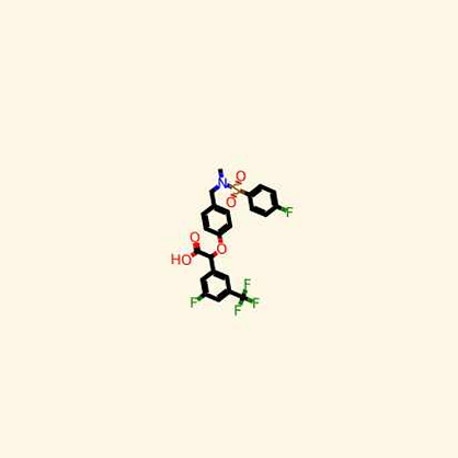 CN(Cc1ccc(OC(C(=O)O)c2cc(F)cc(C(F)(F)F)c2)cc1)S(=O)(=O)c1ccc(F)cc1